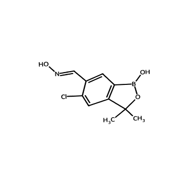 CC1(C)OB(O)c2cc(/C=N/O)c(Cl)cc21